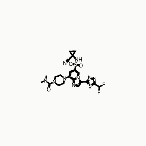 CN(C)C(=O)N1CCN(c2cc(S(=O)(=O)NC3(C#N)CC3)cn3c(-c4nnc(C(F)F)s4)cnc23)CC1